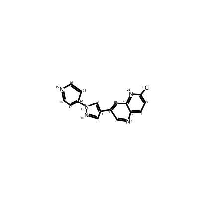 Clc1ccc2ncc(-c3cnn(-c4ccncc4)c3)cc2n1